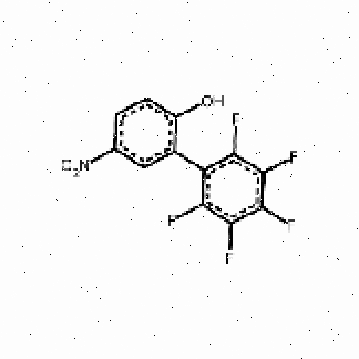 O=[N+]([O-])c1ccc(O)c(-c2c(F)c(F)c(F)c(F)c2F)c1